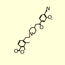 COc1cc(C(=O)CC2CCN(CCc3ccc4c(c3C)COC4=O)CC2)ccc1C#N